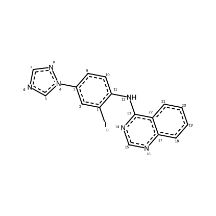 Ic1cc(-n2cncn2)ccc1Nc1ncnc2ccccc12